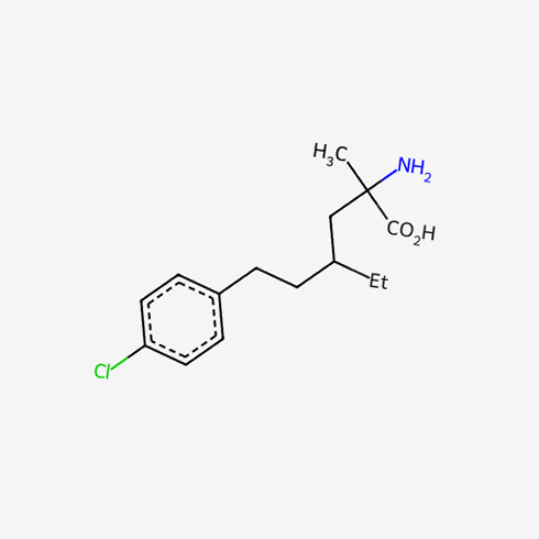 CCC(CCc1ccc(Cl)cc1)CC(C)(N)C(=O)O